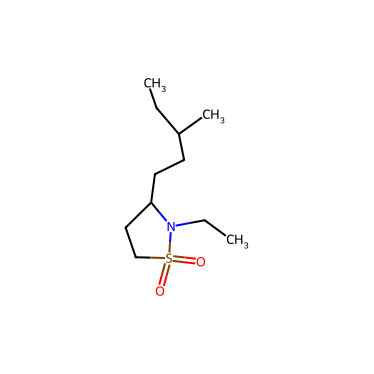 CCC(C)CCC1CCS(=O)(=O)N1CC